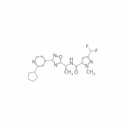 C[C@H](NC(=O)c1cc(C(F)F)nn1C)c1nc(-c2ccnc(C3CCCC3)c2)no1